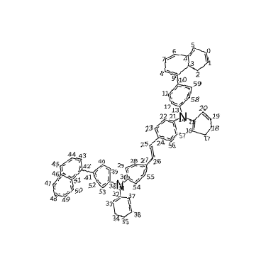 C1=CCC2C(=C1)C=CC=C2c1ccc(N(C2=CCCC=C2)c2ccc(/C=C/c3ccc(N(C4=CCCC=C4)c4ccc(-c5cccc6ccccc56)cc4)cc3)cc2)cc1